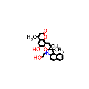 Cc1cc(=O)oc2c3c(c(O)cc12)OC1(C=C3)N(CCO)c2ccc3ccccc3c2C1(C)C